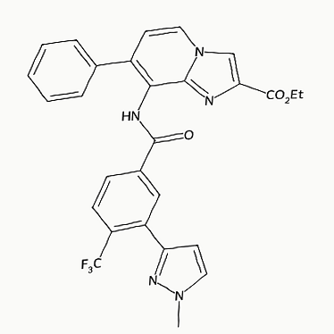 CCOC(=O)c1cn2ccc(-c3ccccc3)c(NC(=O)c3ccc(C(F)(F)F)c(-c4ccn(C)n4)c3)c2n1